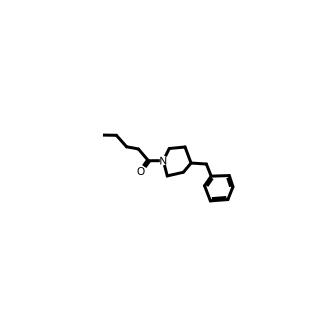 CCCCC(=O)N1CCC(Cc2ccccc2)CC1